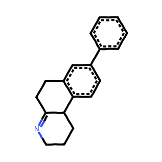 c1ccc(-c2ccc3c(c2)CCC2=NCCCC23)cc1